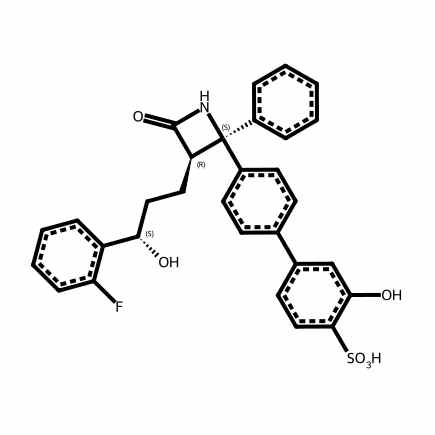 O=C1N[C@@](c2ccccc2)(c2ccc(-c3ccc(S(=O)(=O)O)c(O)c3)cc2)[C@H]1CC[C@H](O)c1ccccc1F